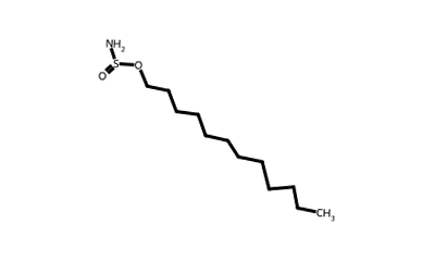 CCCCCCCCCCCCOS(N)=O